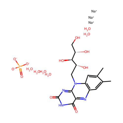 Cc1cc2nc3c(=O)[nH]c(=O)nc-3n(C[C@@H](O)[C@@H](O)[C@@H](O)CO)c2cc1C.O.O.O.O.O.O.O=P([O-])([O-])[O-].[Na+].[Na+].[Na+]